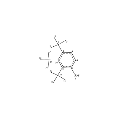 CC(C)(C)c1ccc(S)c(C(C)(C)C)c1C(C)(C)C